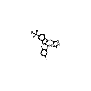 Fc1ccc(Cn2nc(Cc3nnn[nH]3)c3ccc(C(F)(F)F)cc32)c(F)c1